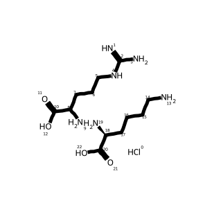 Cl.N=C(N)NCCCC(N)C(=O)O.NCCCC[C@H](N)C(=O)O